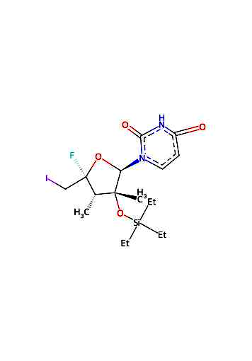 CC[Si](CC)(CC)O[C@@]1(C)[C@H](n2ccc(=O)[nH]c2=O)O[C@](F)(CI)[C@H]1C